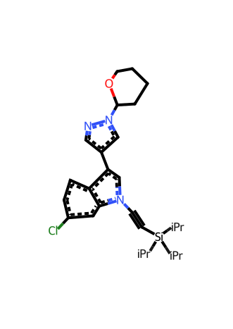 CC(C)[Si](C#Cn1cc(-c2cnn(C3CCCCO3)c2)c2ccc(Cl)cc21)(C(C)C)C(C)C